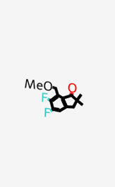 COCc1c(F)c(F)cc2c1C(=O)C(C)(C)C2